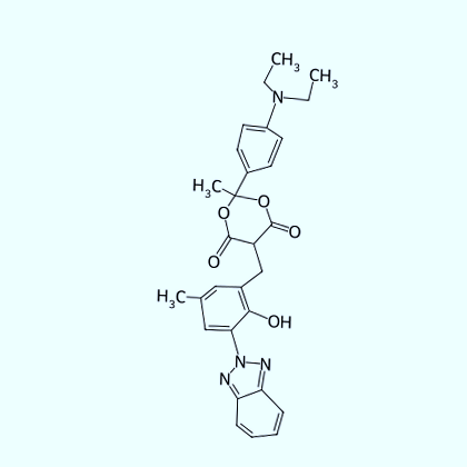 CCN(CC)c1ccc(C2(C)OC(=O)C(Cc3cc(C)cc(-n4nc5ccccc5n4)c3O)C(=O)O2)cc1